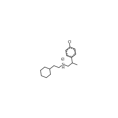 CC(C[SiH](Cl)CCC1CCCCC1)c1ccc(Cl)cc1